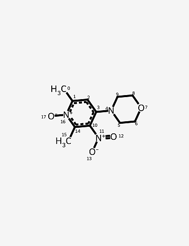 Cc1cc(N2CCOCC2)c([N+](=O)[O-])c(C)[n+]1[O-]